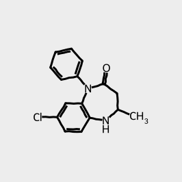 CC1CC(=O)N(c2ccccc2)c2cc(Cl)ccc2N1